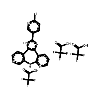 Clc1ccc(-c2nc3c([nH]2)-c2ccncc2Nc2ncccc2-3)cn1.O=C(O)C(F)(F)F.O=C(O)C(F)(F)F.O=C(O)C(F)(F)F